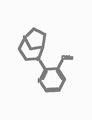 COc1cccnc1N1CCN2CCC1C2